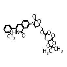 CC1(C)OC(=O)[C@@H](CC(=O)OC[C@@H]2CN(c3ccc4cc(-c5ccccc5C(F)(F)F)[nH]c(=O)c4c3)C(=O)O2)O1